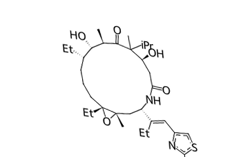 CC/C(=C\c1csc(C(C)C)n1)[C@@H]1C[C@]2(C)O[C@]2(CC)CCC[C@H](CC)[C@H](O)[C@@H](C)C(=O)C(C)(C(C)C)[C@@H](O)CC(=O)N1